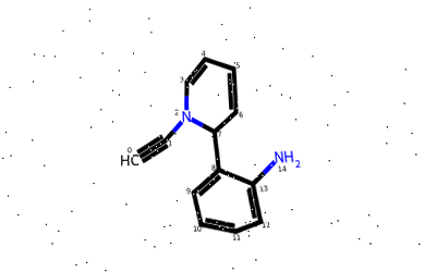 C#CN1C=CC=CC1c1ccccc1N